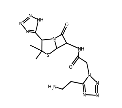 CC1(C)SC2C(NC(=O)Cn3nnnc3CCN)C(=O)N2C1c1nnn[nH]1